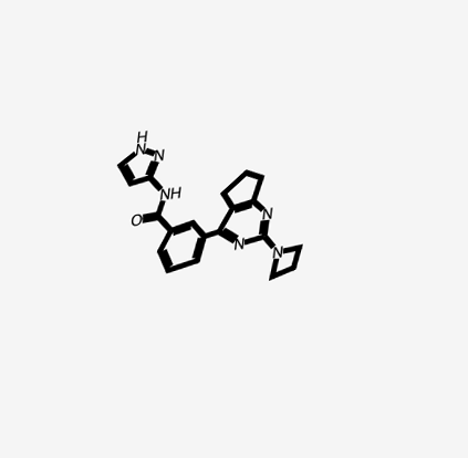 O=C(Nc1cc[nH]n1)c1cccc(-c2nc(N3CCC3)nc3c2CCC3)c1